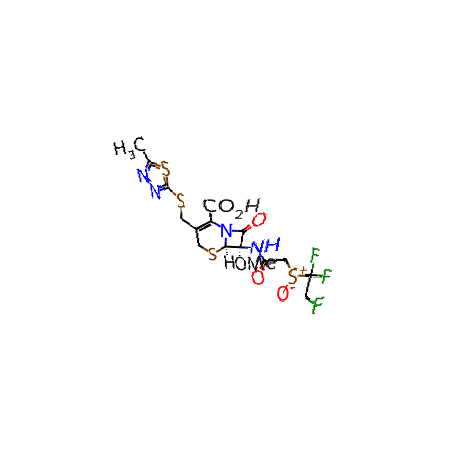 CO[C@@]1(NC(=O)C[S+]([O-])C(F)(F)CF)C(=O)N2C(C(=O)O)=C(CSc3nnc(C)s3)CS[C@@H]21